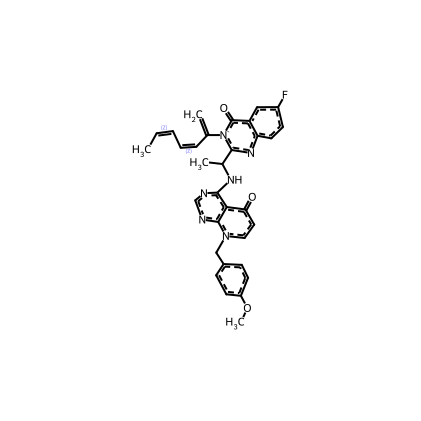 C=C(/C=C\C=C/C)n1c(C(C)Nc2ncnc3c2c(=O)ccn3Cc2ccc(OC)cc2)nc2ccc(F)cc2c1=O